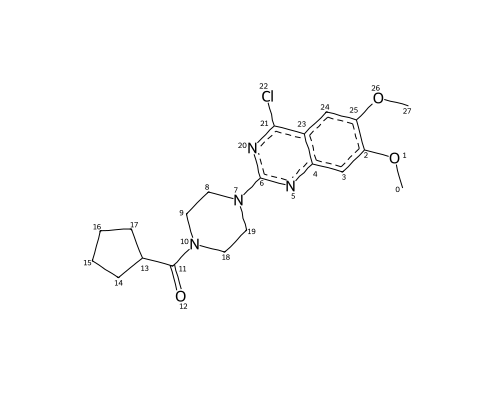 COc1cc2nc(N3CCN(C(=O)C4CCCC4)CC3)nc(Cl)c2cc1OC